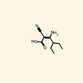 CCC(CC)/C(N)=C(/C#N)C(=O)O